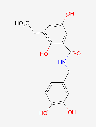 O=C(O)Cc1cc(O)cc(C(=O)NCc2ccc(O)c(O)c2)c1O